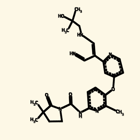 Cc1nc(NC(=O)N2CCC(C)(C)C2=O)ccc1Oc1ccnc(/C(C=N)=C/NCC(C)(C)O)c1